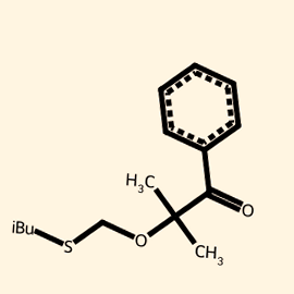 CCC(C)SCOC(C)(C)C(=O)c1ccccc1